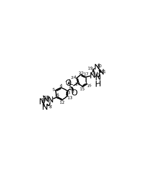 O=S(=O)(c1ccc(-n2cnnn2)cc1)c1ccc(-[n+]2cnn[nH]2)cc1